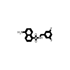 Nc1cccc2c(S(=O)(=O)NCc3cc(F)cc(F)c3)cccc12